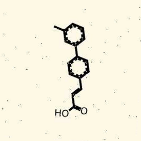 Cc1cccc(-c2ccc(C=CC(=O)O)cc2)c1